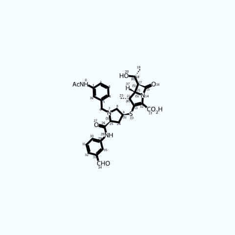 CC(=O)Nc1cccc(CN2C[C@@H](SC3=C(C(=O)O)N4C(=O)[C@H]([C@@H](C)O)[C@H]4[C@H]3C)C[C@H]2C(=O)Nc2cccc(C=O)c2)c1